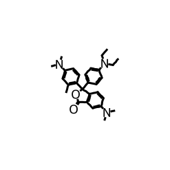 CCN(CC)c1ccc(C2(c3ccc(N(C)C)cc3C)OC(=O)c3cc(N(C)C)ccc32)cc1